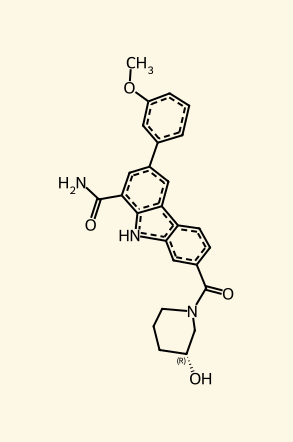 COc1cccc(-c2cc(C(N)=O)c3[nH]c4cc(C(=O)N5CCC[C@@H](O)C5)ccc4c3c2)c1